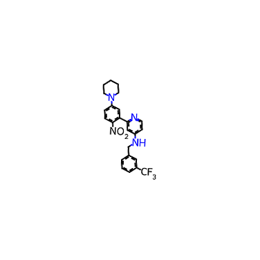 O=[N+]([O-])c1ccc(N2CCCCC2)cc1-c1cc(NCc2cccc(C(F)(F)F)c2)ccn1